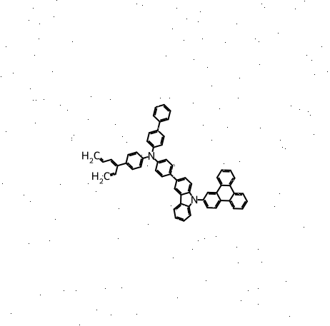 C=C/C=C(\C=C)c1ccc(N(c2ccc(-c3ccccc3)cc2)c2ccc(-c3ccc4c(c3)c3ccccc3n4-c3ccc4c5ccccc5c5ccccc5c4c3)cc2)cc1